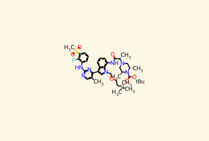 Cc1cnc(Nc2cccc(S(C)(=O)=O)c2F)nc1-c1cn(COCC[Si](C)(C)C)c2c(NC(=O)[C@H](C)N3C[C@H](C)N(C(=O)OC(C)(C)C)[C@@H](C)C3)cccc12